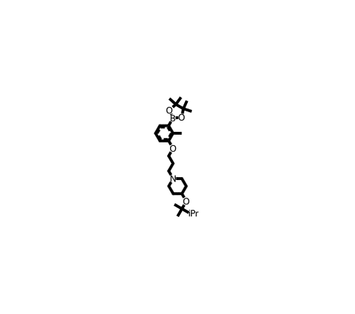 Cc1c(OCCCN2CCC(OC(C)(C)C(C)C)CC2)cccc1B1OC(C)(C)C(C)(C)O1